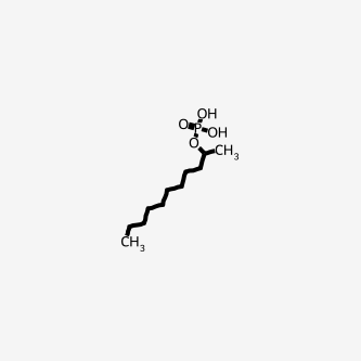 CCCCCCCCCC(C)OP(=O)(O)O